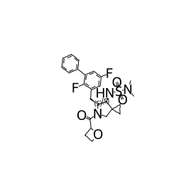 CN(C)S(=O)(=O)N[C@@H]1[C@H](Cc2cc(F)cc(-c3ccccc3)c2F)N(C(=O)C2CCO2)CC12CC2